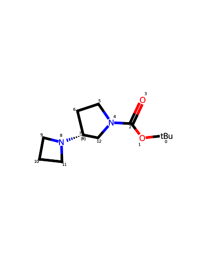 CC(C)(C)OC(=O)N1CC[C@@H](N2CCC2)C1